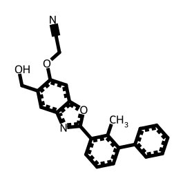 Cc1c(-c2ccccc2)cccc1-c1nc2cc(CO)c(OCC#N)cc2o1